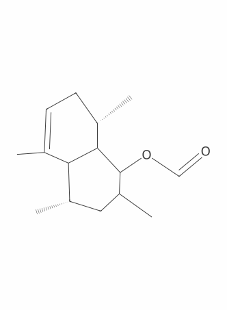 CC1=CC[C@H](C)C2C(OC=O)C(C)C[C@H](C)C12